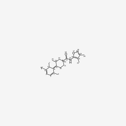 CC1=CC=C(F)C(C)/C1=C1/CCN(C(=O)Nc2onc(C)c2C)CC1C